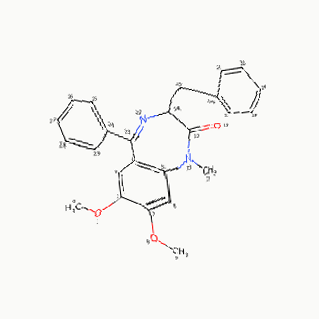 COc1cc2c(cc1OC)N(C)C(=O)C(Cc1ccccc1)N=C2c1ccccc1